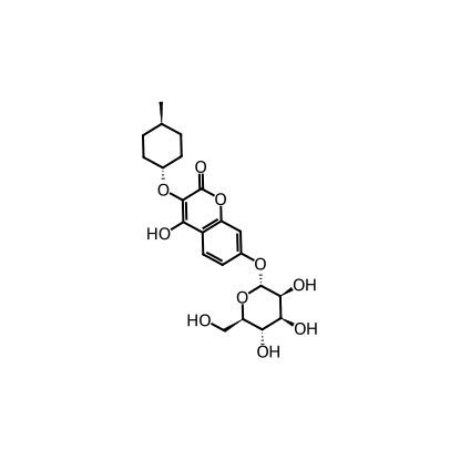 C[C@H]1CC[C@H](Oc2c(O)c3ccc(O[C@H]4O[C@H](CO)[C@@H](O)[C@H](O)[C@@H]4O)cc3oc2=O)CC1